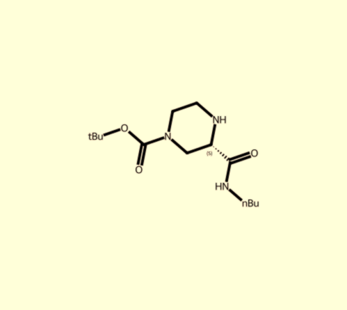 CCCCNC(=O)[C@@H]1CN(C(=O)OC(C)(C)C)CCN1